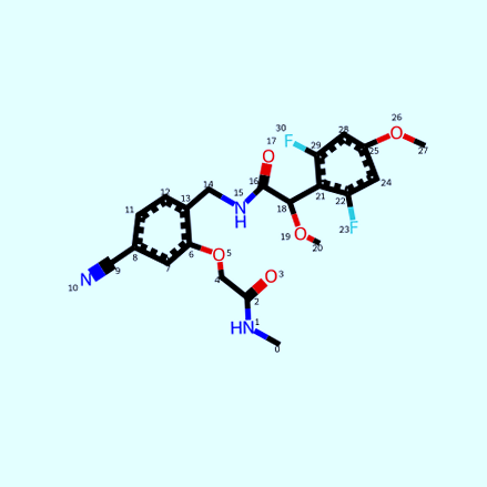 CNC(=O)COc1cc(C#N)ccc1CNC(=O)C(OC)c1c(F)cc(OC)cc1F